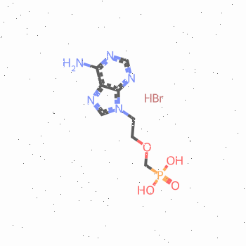 Br.Nc1ncnc2c1ncn2CCOCP(=O)(O)O